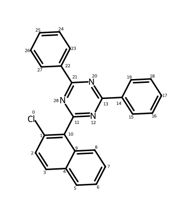 Clc1ccc2ccccc2c1-c1nc(-c2ccccc2)nc(-c2ccccc2)n1